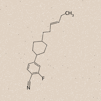 CC/C=C/CCC1CCC(c2ccc(C#N)c(F)c2)CC1